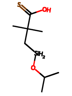 CC(C)O[SiH2]CC(C)(C)C(O)=S